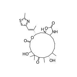 C/C(=C\c1csc(C)n1)[C@@H]1C[C@@H]2OC(=O)NC2CCCC(C)[C@H](O)C(C)C(=O)C(C)(C)C(O)CC(=O)O1